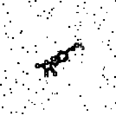 COCc1ccc(C[C@]2(C)OC(=O)NC2=O)cc1